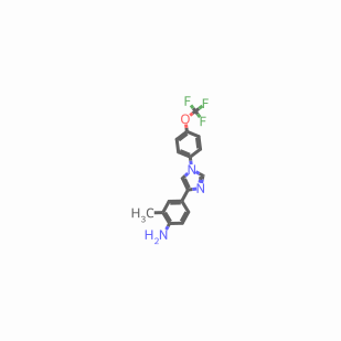 Cc1cc(-c2cn(-c3ccc(OC(F)(F)F)cc3)cn2)ccc1N